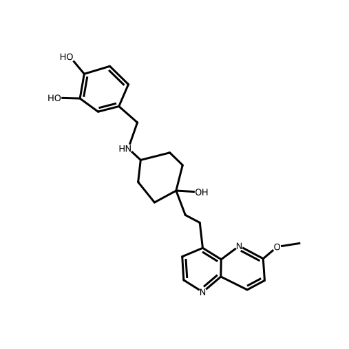 COc1ccc2nccc(CCC3(O)CCC(NCc4ccc(O)c(O)c4)CC3)c2n1